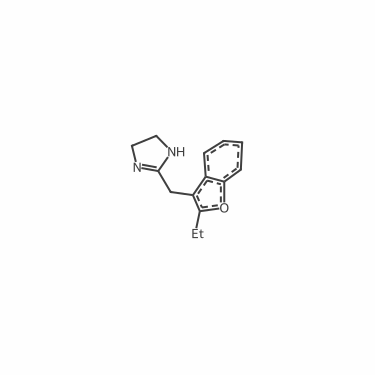 CCc1oc2ccccc2c1CC1=NCCN1